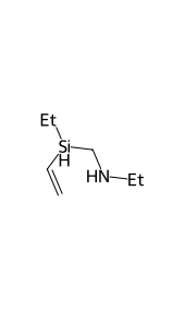 C=C[SiH](CC)CNCC